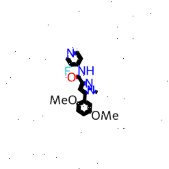 COc1ccc(OC)c(-c2cc(C(=O)Nc3ccncc3F)nn2C)c1